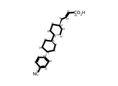 N#Cc1ccc([C@H]2CC[C@H]([C@H]3CC[C@H](C/C=C/C(=O)O)CC3)CC2)cc1